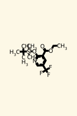 CCOC(=O)c1cc(C(F)(F)F)cnc1O[Si](C)(C)C(C)(C)C